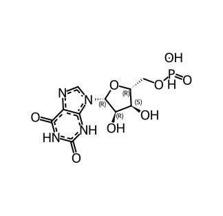 O=c1[nH]c(=O)c2ncn([C@@H]3O[C@H](CO[PH](=O)O)[C@@H](O)[C@H]3O)c2[nH]1